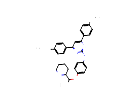 COc1ccc(-c2cc(-c3ccc(OC)cc3)nc(Nc3ccc(OC(C)C4CCCCN4)cc3)n2)cc1